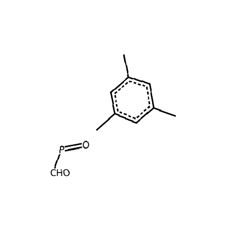 Cc1cc(C)cc(C)c1.O=CP=O